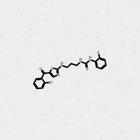 O=C(NCCCNc1ncc(C(=O)c2ccccc2Cl)s1)Nc1ccccc1F